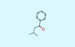 CC(C)CC(=O)c1ccccc1